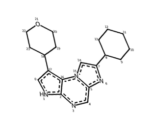 c1[nH]c2ncc3nc(C4CCCCC4)cn3c2c1C1CCOCC1